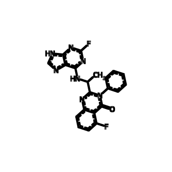 CC(Nc1nc(F)nc2[nH]cnc12)c1nc2cccc(F)c2c(=O)n1-c1ccccc1